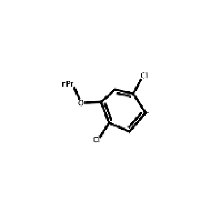 CCCOc1cc(Cl)[c]cc1Cl